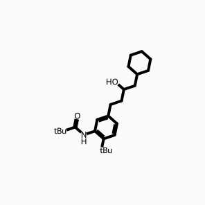 CC(C)(C)C(=O)Nc1cc(CCC(O)CC2CCCCC2)ccc1C(C)(C)C